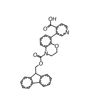 O=C(O)c1ccncc1-c1cccc2c1OCCN2C(=O)OCC1c2ccccc2-c2ccccc21